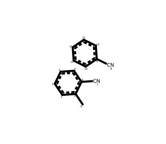 Cc1ccccc1C#N.N#Cc1ccccc1